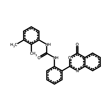 Cc1cccc(NC(=O)Nc2ccccc2-c2nc3ccccc3c(=O)o2)c1C